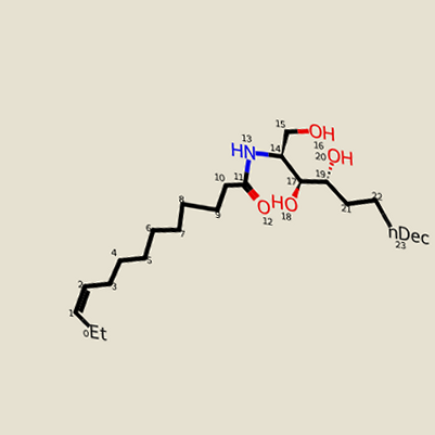 CC/C=C\CCCCCCCCC(=O)N[C@@H](CO)[C@H](O)[C@H](O)CCCCCCCCCCCC